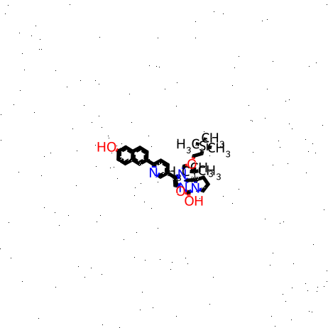 CC(C)(C)[C@]1(c2ncc(-c3ccc(-c4ccc5cc(O)ccc5c4)nc3)n2COCC[Si](C)(C)C)CCCN1C(=O)O